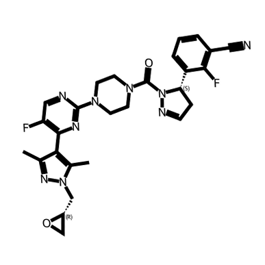 Cc1nn(C[C@@H]2CO2)c(C)c1-c1nc(N2CCN(C(=O)N3N=CC[C@H]3c3cccc(C#N)c3F)CC2)ncc1F